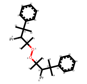 CC(C)C(C(C)(C)OOC(C)(C)C(C(C)C)C(C)(C)c1ccccc1)C(C)(C)c1ccccc1